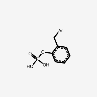 CC(=O)Cc1ccccc1OP(=O)(O)O